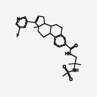 CC(C)(CNC(=O)c1ccc2c(c1)CCC1C2CCC2(C)C(c3cncc(F)c3)=CCC12)NS(C)(=O)=O